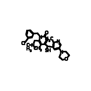 Cc1ncc(N2CCOCC2)cc1C(S)c1cc(=O)n(Cc2cccc(Cl)c2)c(CN(C)C)c1I